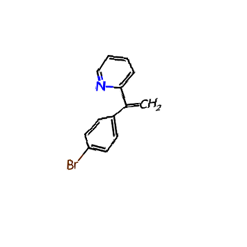 C=C(c1ccc(Br)cc1)c1ccccn1